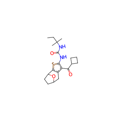 CCC(C)(C)NC(=O)Nc1sc2c(c1C(=O)C1CCC1)CC1CCC2O1